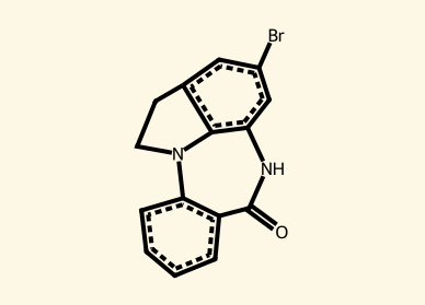 O=C1Nc2cc(Br)cc3c2N(CC3)c2ccccc21